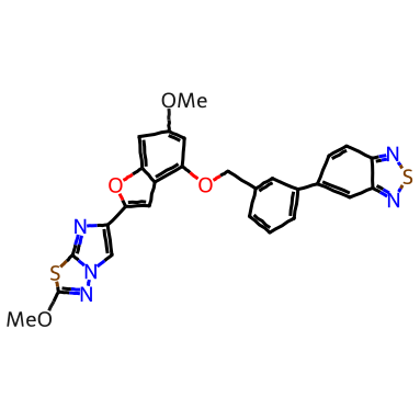 COc1cc(OCc2cccc(-c3ccc4nsnc4c3)c2)c2cc(-c3cn4nc(OC)sc4n3)oc2c1